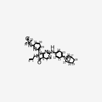 C=CCn1c(=O)c2cnc(Nc3ccc(N4CC5CCC(C4)O5)cc3)nc2n1-c1cccc(N=S(C)(C)=O)n1